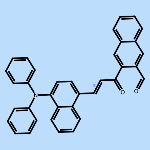 O=Cc1cc2ccccc2cc1C(=O)/C=C/c1ccc(N(c2ccccc2)c2ccccc2)c2ccccc12